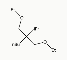 CCCCC(COCC)(COCC)C(C)C